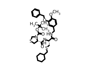 COc1ccc(CNC(=O)[C@H](CSCC2CCCCC2)NC(=O)[C@@H]2CSCN2C(=O)OC(C)(C)C)cc1OCc1ccccc1